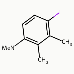 CNc1ccc(I)c(C)c1C